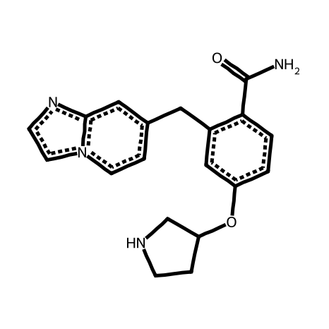 NC(=O)c1ccc(OC2CCNC2)cc1Cc1ccn2ccnc2c1